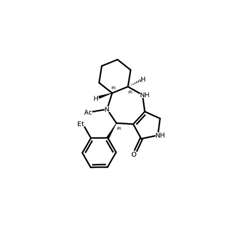 CCc1ccccc1[C@@H]1C2=C(CNC2=O)N[C@@H]2CCCC[C@H]2N1C(C)=O